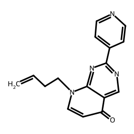 C=CCCn1ccc(=O)c2cnc(-c3ccncc3)nc21